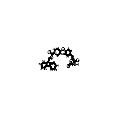 O=C1NC(=O)C(=Cc2ccc(OC3CCN(C(=O)OCC4c5ccccc5-c5ccccc54)CC3)cc2)S1